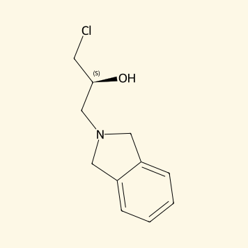 O[C@H](CCl)CN1Cc2ccccc2C1